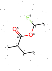 CCC(C)C(=O)OC(C)F